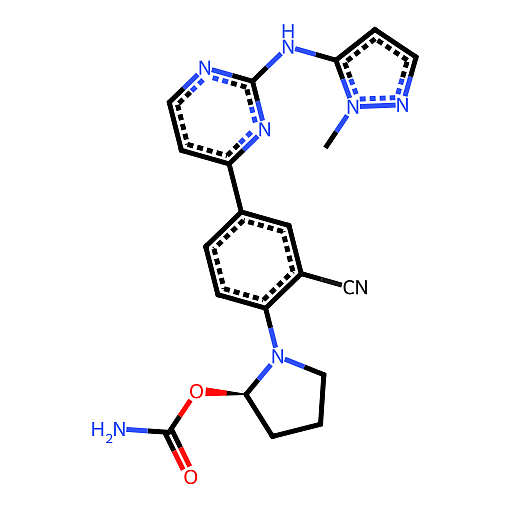 Cn1nccc1Nc1nccc(-c2ccc(N3CCC[C@H]3OC(N)=O)c(C#N)c2)n1